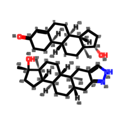 C[C@]12CC[C@H]3[C@@H](CCC4=CC(=O)CC[C@@H]43)[C@@H]1CC[C@@H]2O.C[C@]12Cc3c[nH]nc3C[C@@H]1CC[C@@H]1[C@@H]2CC[C@@]2(C)[C@H]1CC[C@]2(C)O